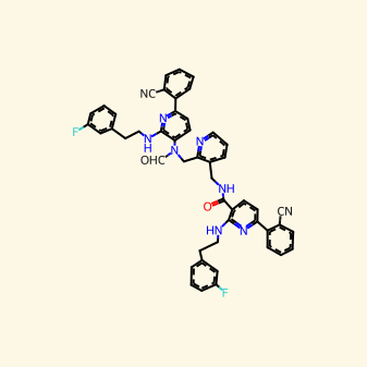 N#Cc1ccccc1-c1ccc(C(=O)NCc2cccnc2CN(C=O)c2ccc(-c3ccccc3C#N)nc2NCCc2cccc(F)c2)c(NCCc2cccc(F)c2)n1